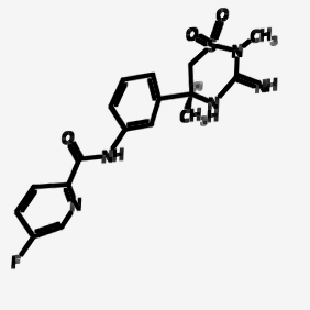 CN1C(=N)N[C@](C)(c2cccc(NC(=O)c3ccc(F)cn3)c2)CS1(=O)=O